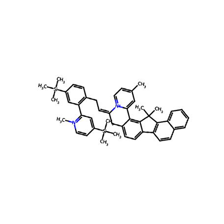 Cc1cc[n+]2c(c1)-c1c(ccc3c1C(C)(C)c1c-3ccc3ccccc13)C/C2=C/Cc1ccc([Si](C)(C)C)cc1-c1cc([Si](C)(C)C)cc[n+]1C